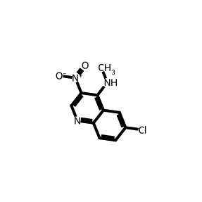 CNc1c([N+](=O)[O-])cnc2ccc(Cl)cc12